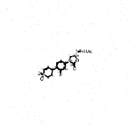 CC(=O)NC[C@H]1CN(c2ccc(C3C=CS(=O)(=O)CC3)c(F)c2)C(=O)O1